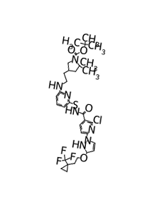 CC(C)(C)OC(=O)N1CC(CCNc2cccc(SNC(=O)c3ccc(N4C=CC(OCCC5(C(F)(F)F)CC5)N4)nc3Cl)n2)CC1(C)C